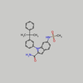 CC(C)(c1ccccc1)c1cccc(-n2c(C(N)=O)cc3ccc(NS(C)(=O)=O)cc32)c1